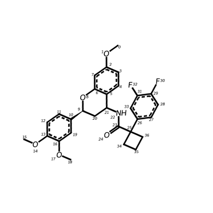 COc1ccc2c(c1)O[C@H](c1ccc(OC)c(OC)c1)CC2NC(=O)C1(c2ccc(F)c(F)c2)CCC1